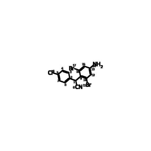 N#CC(c1ccc(Cl)cc1)c1c(Br)cc(N)cc1Br